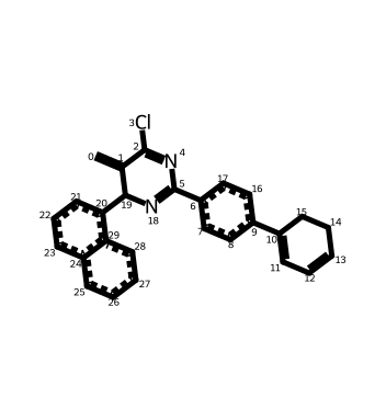 C=C1C(Cl)=NC(c2ccc(C3=CC=CCC3)cc2)=NC1c1cccc2ccccc12